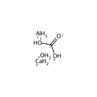 O.O=C(O)O.[AlH3].[CaH2]